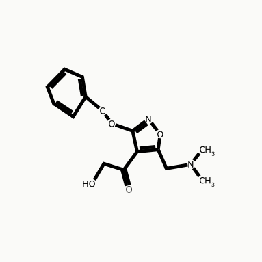 CN(C)Cc1onc(OCc2ccccc2)c1C(=O)CO